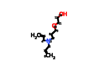 C=CCN(CC=C)CCCOCCO